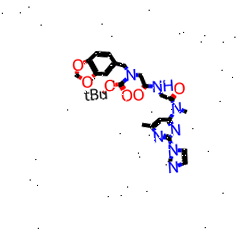 Cc1cc(N(C)C(=O)CNC(=O)CN(Cc2ccc3c(c2)OCO3)C(=O)OC(C)(C)C)nc(-n2ccnc2)n1